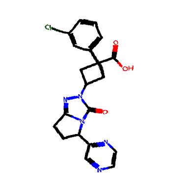 O=C(O)C1(c2cccc(Cl)c2)CC(n2nc3n(c2=O)C(c2cnccn2)CC3)C1